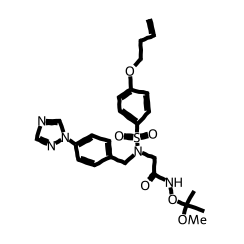 C=CCCOc1ccc(S(=O)(=O)N(CC(=O)NOC(C)(C)OC)Cc2ccc(-n3cncn3)cc2)cc1